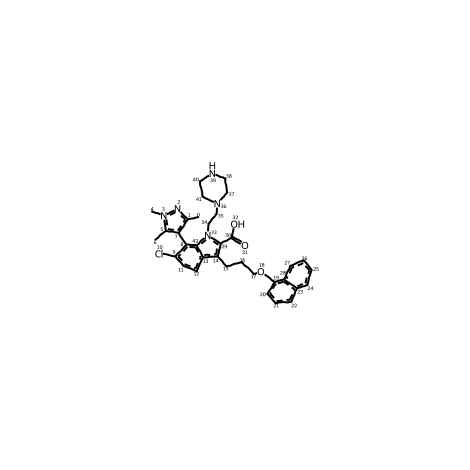 Cc1nn(C)c(C)c1-c1c(Cl)ccc2c(CCCOc3cccc4ccccc34)c(C(=O)O)n(CCN3CCNCC3)c12